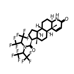 C[C@]12C=CC(=O)N[C@@H]1CC[C@@H]1[C@@H]2CC[C@]2(C)[C@@H](C(=O)N(C(C(F)(F)F)C(F)(F)F)C(C(F)(F)F)C(F)(F)F)CC[C@@H]12